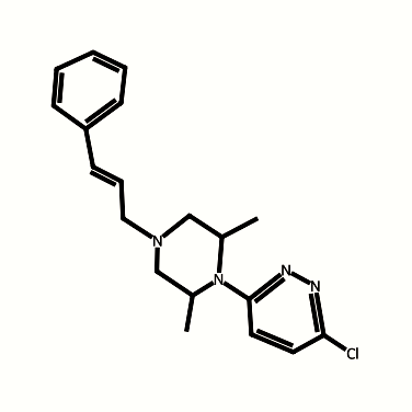 CC1CN(CC=Cc2ccccc2)CC(C)N1c1ccc(Cl)nn1